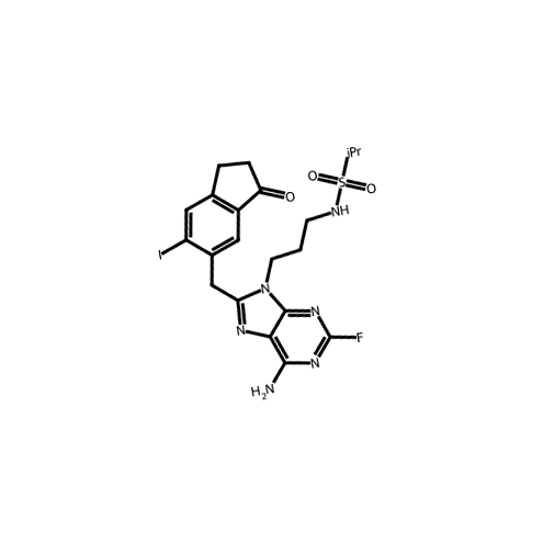 CC(C)S(=O)(=O)NCCCn1c(Cc2cc3c(cc2I)CCC3=O)nc2c(N)nc(F)nc21